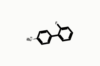 CC[C@@H](C)c1ccc(-c2ccccc2F)cc1